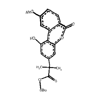 CCCCOC(=O)C(C)(C)c1cc(O)c2c(c1)oc(=O)c1ccc(OC)cc12